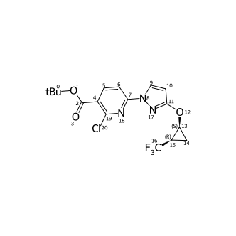 CC(C)(C)OC(=O)c1ccc(-n2ccc(O[C@H]3C[C@H]3C(F)(F)F)n2)nc1Cl